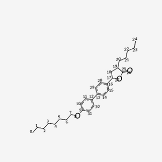 CCCCCCCCOc1ccc(-c2ccc(C3CC(CCCCC)C(=O)O3)cc2)cc1